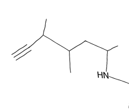 C#CC(C)C(C)CC(C)NCC